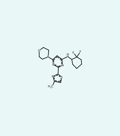 Cc1csc(-c2nc(NC3CCCCC3(F)F)cc(N3CCOCC3)n2)n1